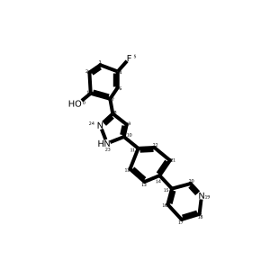 Oc1ccc(F)cc1-c1cc(-c2ccc(-c3cccnc3)cc2)[nH]n1